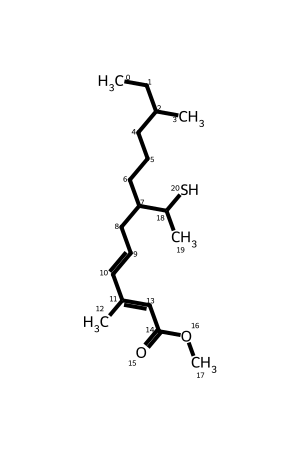 CCC(C)CCCC(CC=CC(C)=CC(=O)OC)C(C)S